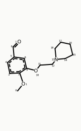 COc1ccc([C]=O)cc1OCCN1CCCCC1